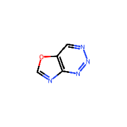 [c]1nnnc2ncoc12